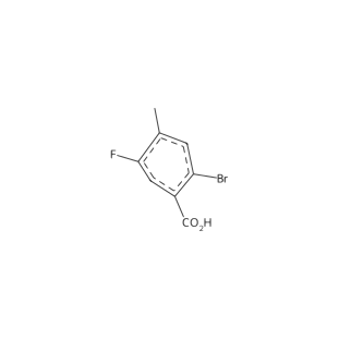 Cc1cc(Br)c(C(=O)O)cc1F